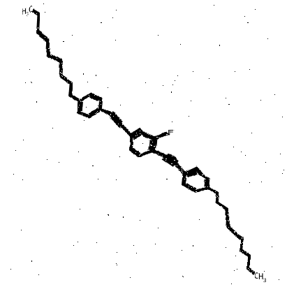 CCCCCCCCCc1ccc(C#Cc2ccc(C#Cc3ccc(CCCCCCCCC)cc3)c(F)c2)cc1